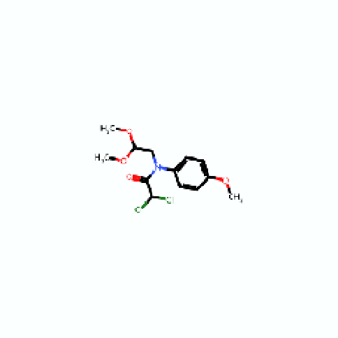 COc1ccc(N(CC(OC)OC)C(=O)C(Cl)Cl)cc1